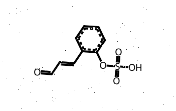 O=[C]/C=C/c1ccccc1OS(=O)(=O)O